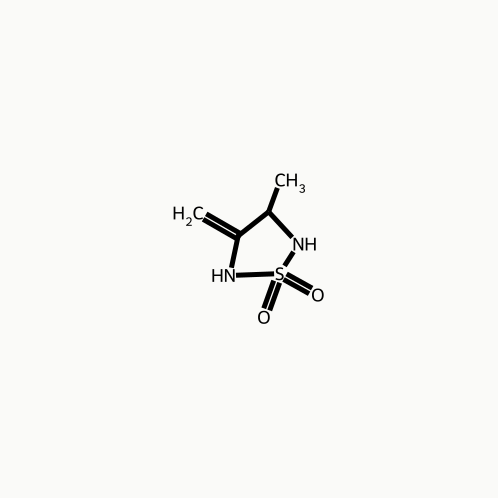 C=C1NS(=O)(=O)NC1C